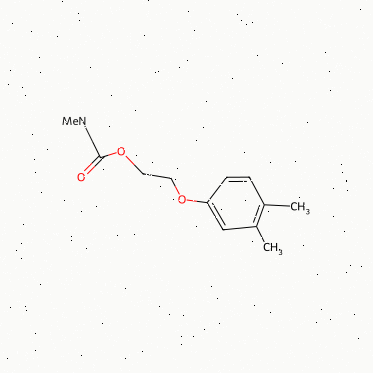 CNC(=O)OCCOc1ccc(C)c(C)c1